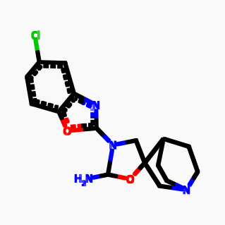 NC1OC2(CN3CCC2CC3)CN1c1nc2cc(Cl)ccc2o1